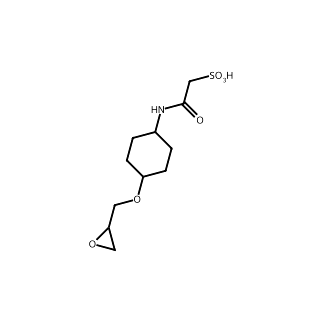 O=C(CS(=O)(=O)O)NC1CCC(OCC2CO2)CC1